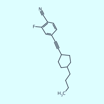 CCCCC1CCC(C#Cc2ccc(C#N)c(F)c2)CC1